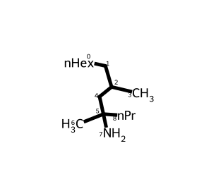 CCCCCCCC(C)CC(C)(N)CCC